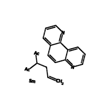 C=CCC(C(C)=O)C(C)=O.[Sm].c1cnc2c(c1)ccc1ncccc12